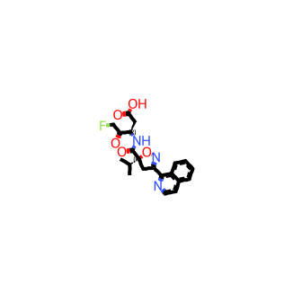 CC(C)[C@@]1(C(=O)N[C@H](CC(=O)O)C(=O)CF)CC(c2nccc3ccccc23)=NO1